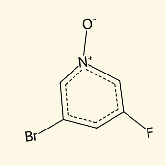 [O-][n+]1cc(F)cc(Br)c1